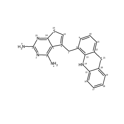 Nc1nc(N)c2c(Cc3cccc4c3Nc3ccccc3S4)csc2n1